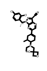 CCN(CC1(O)COC1)C1CC=C(c2cnc3c(C#N)nn([C@H](C)c4ccc(Cl)cc4Cl)c3n2)CC1C